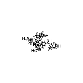 COCC1(CNC(=N)c2ccc3c(c2)CC[C@H]([C@](C)(O/N=C(\C(=O)N[C@@H]2C(=O)N(OS(=O)(=O)O)C2(C)C)c2csc(N)n2)C(=O)O)O3)CCNCC1